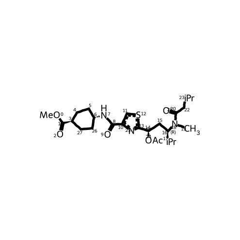 COC(=O)[C@H]1CC[C@H](NC(=O)c2csc([C@@H](C[C@H](C(C)C)N(C)C(=O)CC(C)C)OC(C)=O)n2)CC1